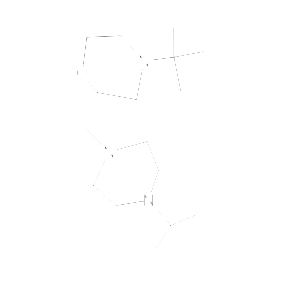 CC(C)N1CCN(C[C@H]2CN(C(C)(C)C)CCO2)CC1